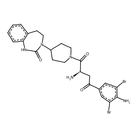 Nc1c(Br)cc(C(=O)C[C@@H](N)C(=O)N2CCC(N3CCc4ccccc4NC3=O)CC2)cc1Br